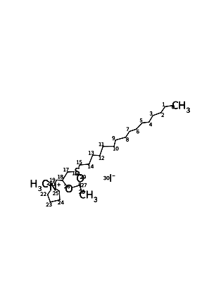 CCCCCCCCCCCCCCCCSCC(C[N+]1(C)CCCC1)OC(C)=O.[I-]